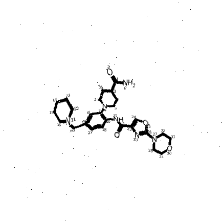 NC(=O)C1CCN(c2cc(CN3CCCCC3)ccc2NC(=O)c2coc(N3CCOCC3)n2)CC1